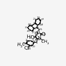 Cc1ccc(C[C@@H](C(=O)O)N(C)C(=O)OCC2c3ccccc3-c3ccccc32)cc1Cl